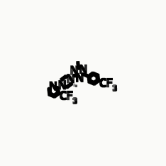 Cc1nc(-c2ccc(C(F)(F)F)cc2)nc(N2CCN(c3ncccc3C(F)(F)F)C[C@H]2C)n1